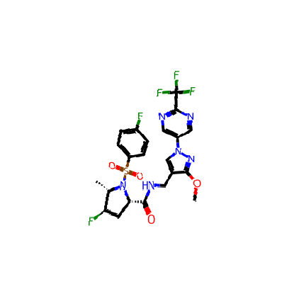 COc1nn(-c2cnc(C(F)(F)F)nc2)cc1CNC(=O)[C@@H]1C[C@@H](F)[C@H](C)N1S(=O)(=O)c1ccc(F)cc1